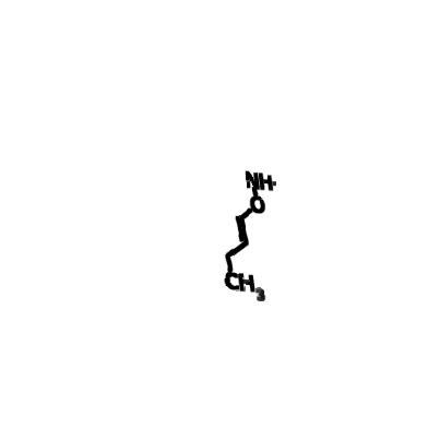 CCC=CO[NH]